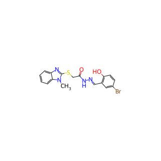 Cn1c(SCC(=O)N/N=C/c2cc(Br)ccc2O)nc2ccccc21